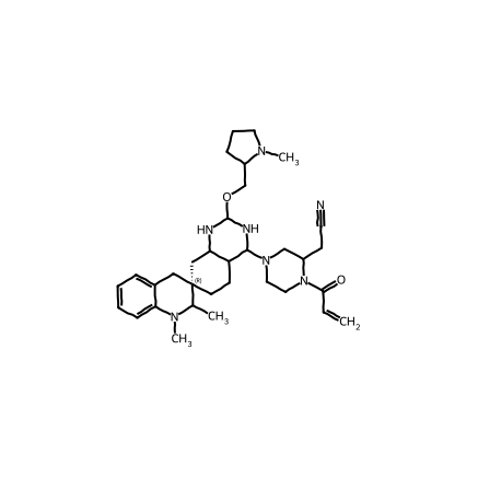 C=CC(=O)N1CCN(C2NC(OCC3CCCN3C)NC3C[C@@]4(CCC32)Cc2ccccc2N(C)C4C)CC1CC#N